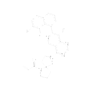 C=CC(=O)N1CCCC12CCN(c1ncnc3c(F)c(-c4cccc5ccc(F)c(Cl)c45)ncc13)C2